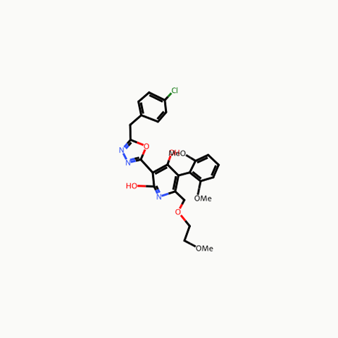 COCCOCc1nc(O)c(-c2nnc(Cc3ccc(Cl)cc3)o2)c(O)c1-c1c(OC)cccc1OC